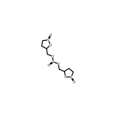 O=S1CCC(COS(=O)OCC2CCS(=O)O2)O1